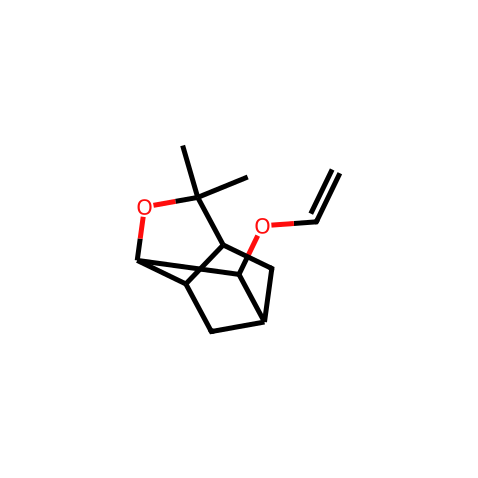 C=COC1C2CC3C1OC(C)(C)C3C2